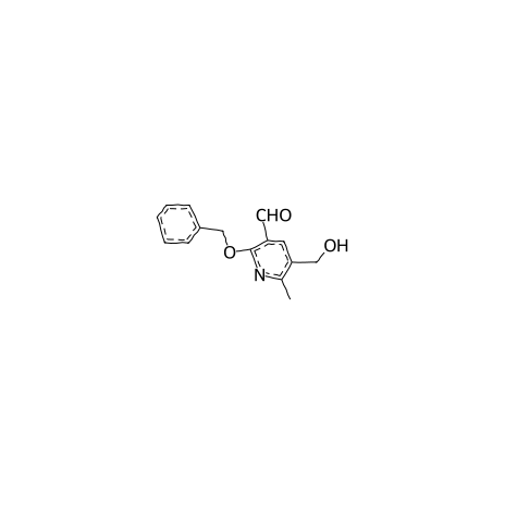 Cc1nc(OCc2ccccc2)c(C=O)cc1CO